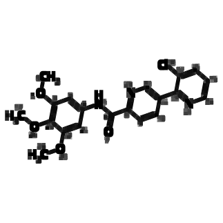 COc1cc(NC(=O)c2ccc(-c3ncccc3Cl)cn2)cc(OC)c1OC